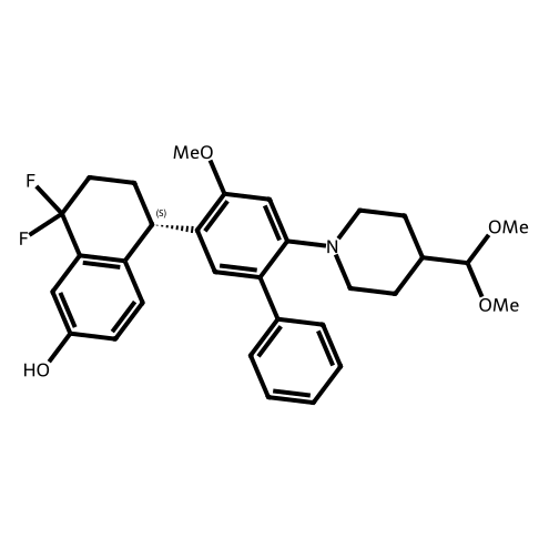 COc1cc(N2CCC(C(OC)OC)CC2)c(-c2ccccc2)cc1[C@H]1CCC(F)(F)c2cc(O)ccc21